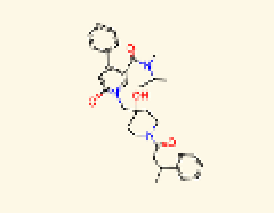 CC(CC(=O)N1CCC(O)(Cn2cc(C(=O)N(C)C(C)C)c(-c3ccccc3)cc2=O)CC1)c1ccccc1